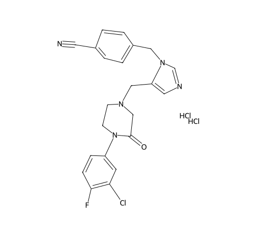 Cl.Cl.N#Cc1ccc(Cn2cncc2CN2CCN(c3ccc(F)c(Cl)c3)C(=O)C2)cc1